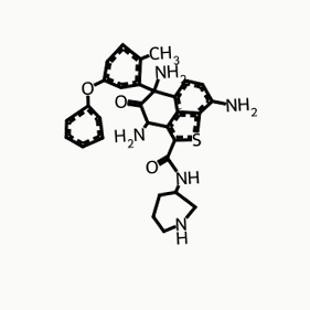 Cc1ccc(Oc2ccccc2)cc1C1(N)C(=O)C(N)c2c(C(=O)NC3CCCNC3)sc3c(N)ccc1c23